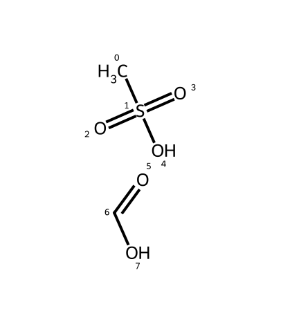 CS(=O)(=O)O.O=CO